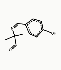 CC(C)(C=O)/N=C\c1ccc(O)cc1